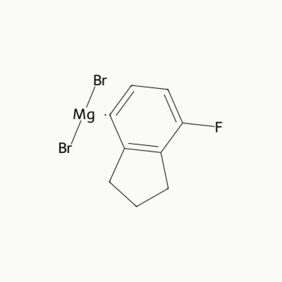 Fc1cc[c]c2c1CCC2.[Br][Mg][Br]